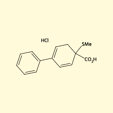 CSC1(C(=O)O)C=CC(c2ccccc2)=CC1.Cl